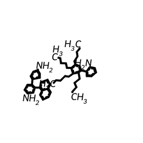 CCCCCc1cc(-c2ccccc2N)c(CCCCC)c(CCCCC)c1CCCCC.Nc1ccc(-c2ccc(N)cc2-c2cccc3ccccc23)cc1